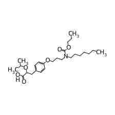 CCCCCCCN(CCCOc1ccc(CC(OC(C)C)C(=O)O)cc1)C(=O)OCCC